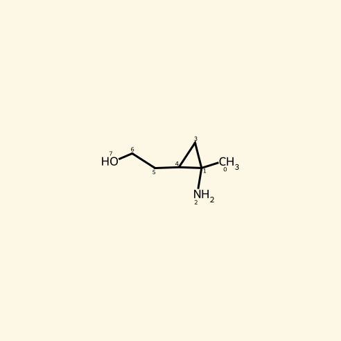 CC1(N)CC1CCO